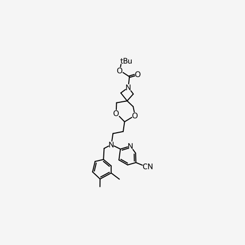 Cc1ccc(CN(CCC2OCC3(CO2)CN(C(=O)OC(C)(C)C)C3)c2ccc(C#N)cn2)cc1C